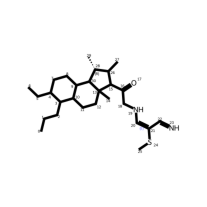 CCCC1C(CC)CCC2C1CCC1(C)C(C(=O)CN/C=C(\C=N)SC)C(C)[C@@H](C)C21